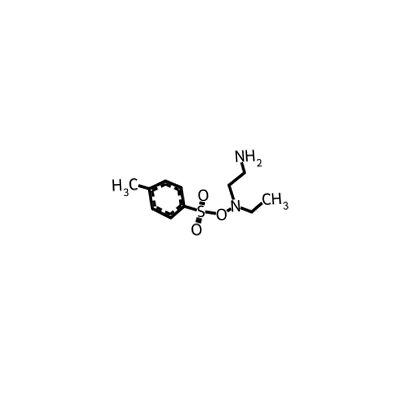 CCN(CCN)OS(=O)(=O)c1ccc(C)cc1